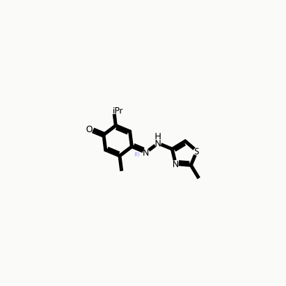 CC1=CC(=O)C(C(C)C)=C/C1=N\Nc1csc(C)n1